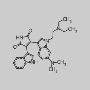 CCN(CC)CCn1cc(C2=C(c3c[nH]c4ccccc34)C(=O)NC2=O)c2ccc(N(C)C)cc21